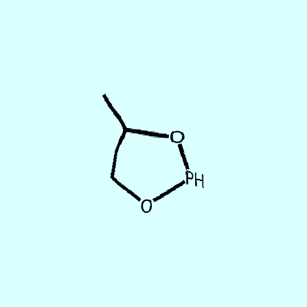 CC1COPO1